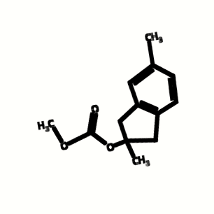 COC(=O)OC1(C)Cc2ccc(C)cc2C1